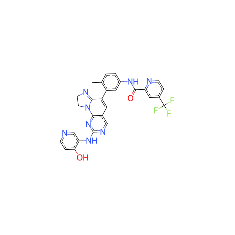 Cc1ccc(NC(=O)c2cc(C(F)(F)F)ccn2)cc1C1=Cc2cnc(Nc3cnccc3O)nc2N2CCN=C12